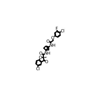 C[C@]1(C(=O)NC23CC(C2)C(NC(=O)COc2ccc(Cl)c(F)c2)C3)Oc2ccc(Cl)cc2C1=O